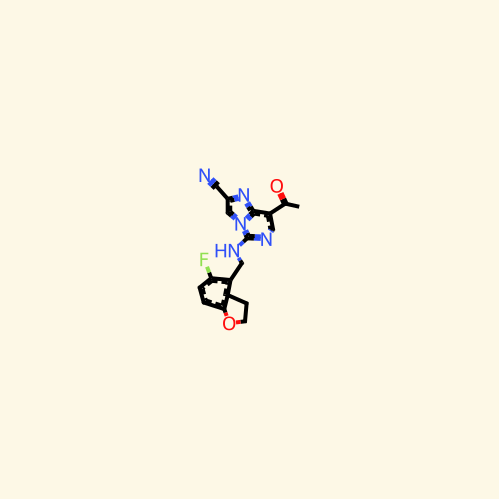 CC(=O)c1cnc(NCc2c(F)ccc3c2CCO3)n2cc(C#N)nc12